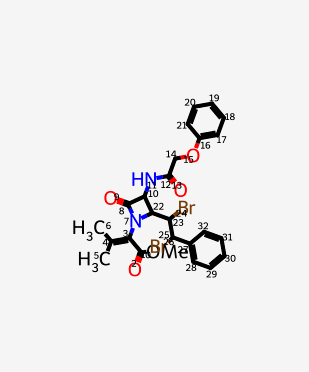 COC(=O)C(=C(C)C)N1C(=O)C(NC(=O)COc2ccccc2)C1C(Br)C(Br)c1ccccc1